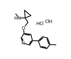 CNC1(COc2cncc(-c3ccc(C)cc3)c2)CC1.Cl.Cl